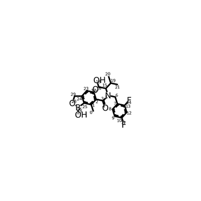 Cc1c(C(=O)N(Cc2ccc(F)cc2F)C(C(=O)O)C(C)C)ccc2c1B(O)OC2